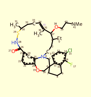 CCC1CCN2CC3(CCCc4c3ccc(Cl)c4F)COc3ccc(cc32)C(=O)NSC(C)CC/C=C(\C)C1OCCNC